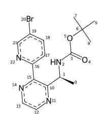 C[C@H](NC(=O)OC(C)(C)C)c1nccnc1-c1ccc(Br)cn1